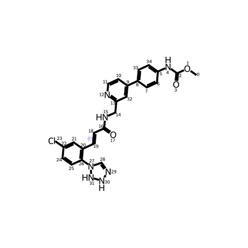 COC(=O)Nc1ccc(-c2ccnc(CNC(=O)/C=C/c3cc(Cl)ccc3N3C=NNN3)c2)cc1